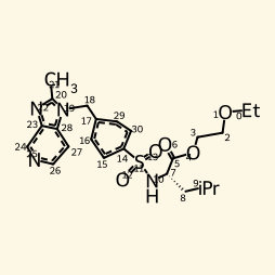 CCOCCOC(=O)[C@H](CC(C)C)NS(=O)(=O)c1ccc(Cn2c(C)nc3cnccc32)cc1